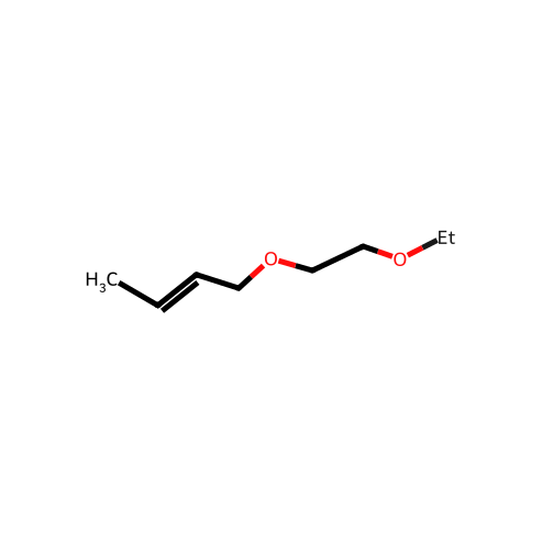 [CH2]COCCOCC=CC